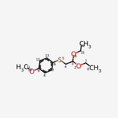 CCOC(CSc1ccc(OC)cc1)OCC